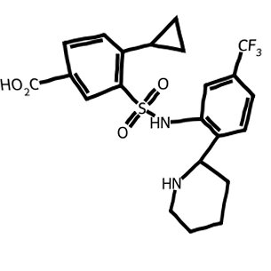 O=C(O)c1ccc(C2CC2)c(S(=O)(=O)Nc2cc(C(F)(F)F)ccc2C2CCCCN2)c1